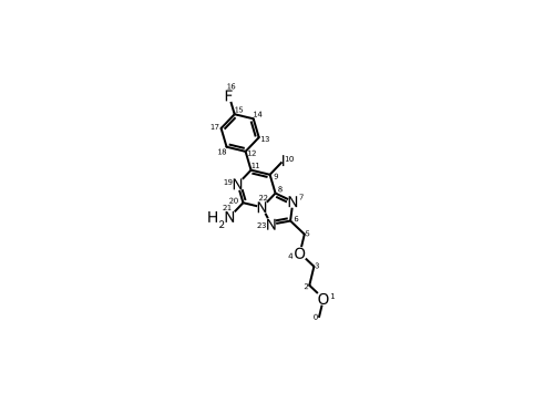 COCCOCc1nc2c(I)c(-c3ccc(F)cc3)nc(N)n2n1